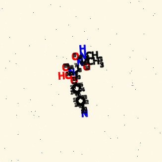 CC1(C)NC(=O)N(CCC(COc2ccc(-c3ccc(C#N)cc3)cc2)N(O)C=O)C1=O